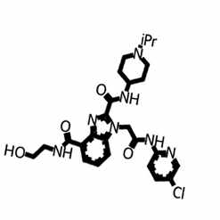 CC(C)N1CCC(NC(=O)c2nc3c(C(=O)NCCO)cccc3n2CC(=O)Nc2ccc(Cl)cn2)CC1